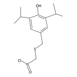 CC(C)c1cc(CSCC(=O)Cl)cc(C(C)C)c1O